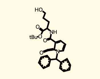 CC(C)(C)OC(=O)C(CCCO)NC(=O)C1=CC=CN(C(c2ccccc2)c2ccccc2)C1=C=O